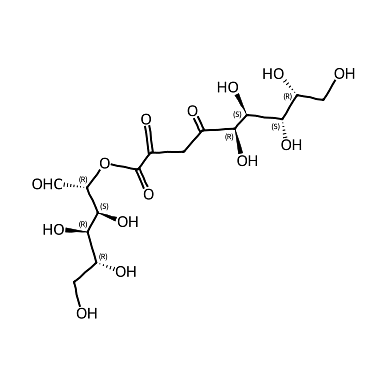 O=C[C@H](OC(=O)C(=O)CC(=O)[C@H](O)[C@@H](O)[C@@H](O)[C@H](O)CO)[C@@H](O)[C@H](O)[C@H](O)CO